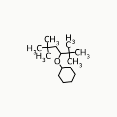 CC(C)(C)CC(OC1CCCCC1)C(C)(C)C